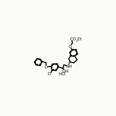 CCOC(=O)COc1ccc2c(c1)C[C@H](NC[C@@H](O)c1ccc(OCc3ccccc3)c(Cl)c1)CC2.Cl